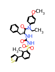 CCN(C(=O)[C@H](Cc1ccccc1)NC(=O)NS(=O)(=O)c1cccc(-c2ccsc2)c1C)c1ccc(OC)cc1